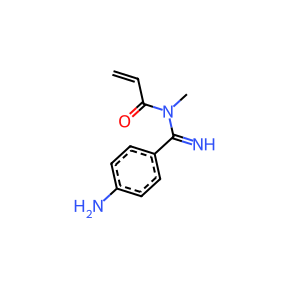 C=CC(=O)N(C)C(=N)c1ccc(N)cc1